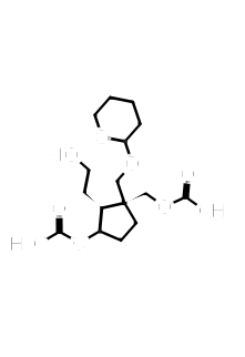 CC(=O)OC[C@@]1(COC2CCCCO2)CCC(OC(C)=O)[C@H]1CCO